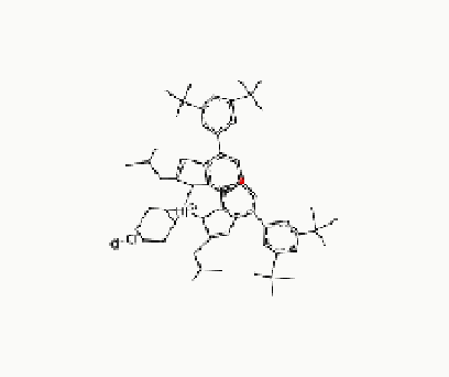 CC(C)CC1=Cc2c(-c3cc(C(C)(C)C)cc(C(C)(C)C)c3)cccc2[CH]1[Hf+2]1([CH]2C(CC(C)C)=Cc3c(-c4cc(C(C)(C)C)cc(C(C)(C)C)c4)cccc32)[CH]2CCCC[CH]21.[Cl-].[Cl-]